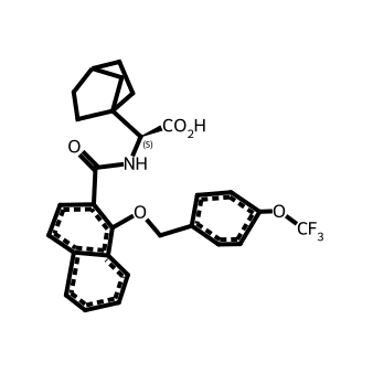 O=C(N[C@H](C(=O)O)C12CCC(CC1)C2)c1ccc2ccccc2c1OCc1ccc(OC(F)(F)F)cc1